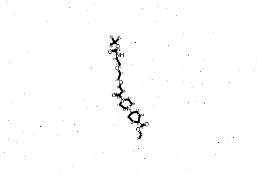 CCOC(=O)[C@H]1CC[C@H](N2CCN(C(=O)CCOCCOCCNC(=O)OC(C)(C)C)CC2)CC1